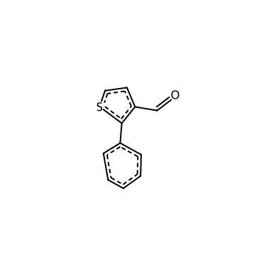 O=Cc1ccsc1-c1ccccc1